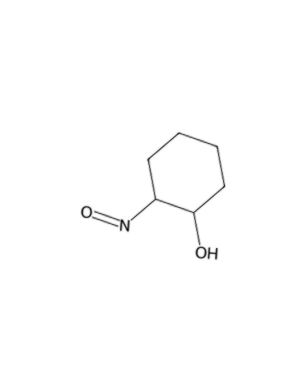 O=NC1CCCCC1O